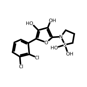 Oc1c(-c2cccc(Cl)c2Cl)oc(N2CCCS2(O)O)c1O